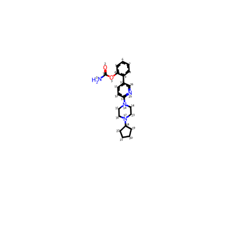 NC(=O)Oc1ccccc1-c1ccc(N2CCN(C3CCCC3)CC2)nc1